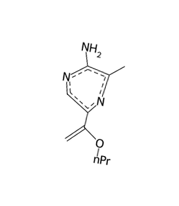 C=C(OCCC)c1cnc(N)c(C)n1